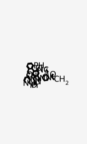 C=CC(=O)N1CCN(c2nc(=O)n(-c3c(C)ccnc3C(C)C)c3c4c(c(Cl)cc23)-c2c(P)cccc2CO4)C[C@H]1CC#N